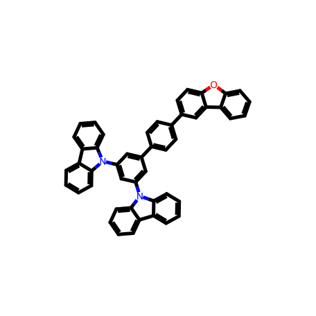 c1ccc2c(c1)oc1ccc(-c3ccc(-c4cc(-n5c6ccccc6c6ccccc65)cc(-n5c6ccccc6c6ccccc65)c4)cc3)cc12